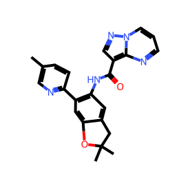 Cc1ccc(-c2cc3c(cc2NC(=O)c2cnn4cccnc24)CC(C)(C)O3)nc1